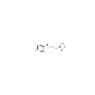 CCN1CCN=C1CCNC(=O)c1cc(Cl)c(N)cc1OC